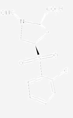 O=CN1C[C@H](S(=O)(=O)c2ccccc2Cl)C[C@H]1C(=O)O